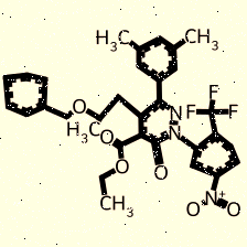 CCOC(=O)c1c(CC(C)OCc2ccccc2)c(-c2cc(C)cc(C)c2)nn(-c2cc([N+](=O)[O-])ccc2C(F)(F)F)c1=O